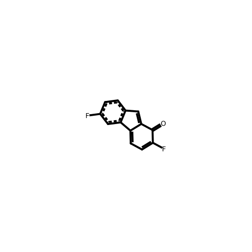 O=C1C(F)=CC=C2C1=Cc1ccc(F)cc12